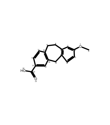 COc1ccc2c(c1)CCc1ccc(C(=O)O)cc1C2